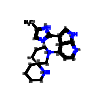 Cc1cnc(-c2c[nH]c3nccc(N4CCC[C@]5(CCCCN5)C4)c23)[nH]1